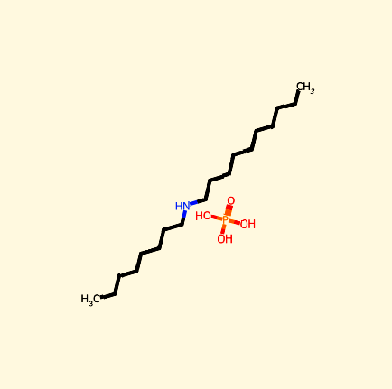 CCCCCCCCCCNCCCCCCCC.O=P(O)(O)O